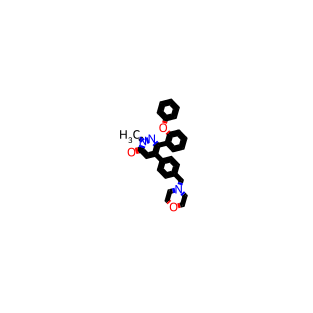 Cn1nc(-c2ccccc2Oc2ccccc2)c(-c2ccc(CN3CCOCC3)cc2)cc1=O